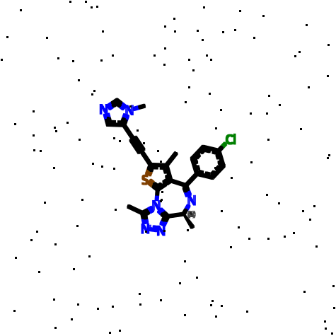 Cc1c(C#Cc2cncn2C)sc2c1C(c1ccc(Cl)cc1)=N[C@@H](C)c1nnc(C)n1-2